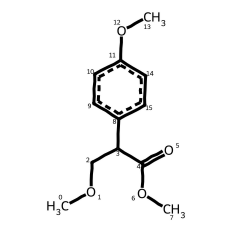 COCC(C(=O)OC)c1ccc(OC)cc1